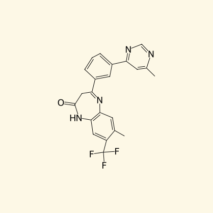 Cc1cc(-c2cccc(C3=Nc4cc(C)c(C(F)(F)F)cc4NC(=O)C3)c2)ncn1